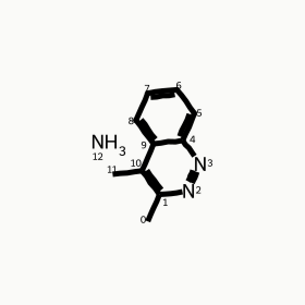 Cc1nnc2ccccc2c1C.N